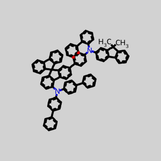 CC1(C)c2ccccc2-c2ccc(N(c3ccc(-c4ccc5c(c4)C4(c6ccccc6-c6ccccc64)c4cccc(N(c6ccc(-c7ccccc7)cc6)c6ccc(-c7ccccc7)cc6)c4-5)cc3)c3ccccc3-c3ccccc3)cc21